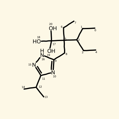 CCC(CC)C(CC)(Cc1nc(C(C)C)n[nH]1)C(O)(O)O